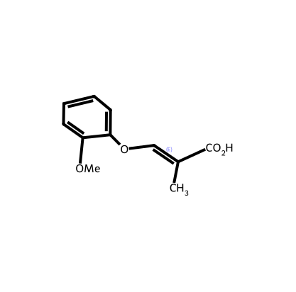 COc1ccccc1O/C=C(\C)C(=O)O